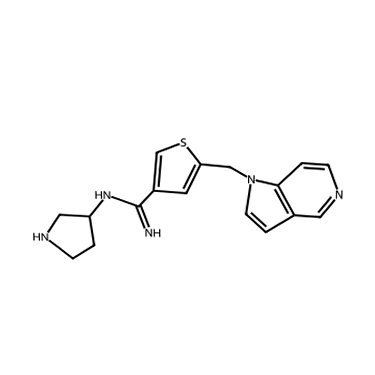 N=C(NC1CCNC1)c1csc(Cn2ccc3cnccc32)c1